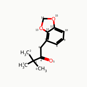 CC(C)(C)C(=O)Cc1cccc2c1OCO2